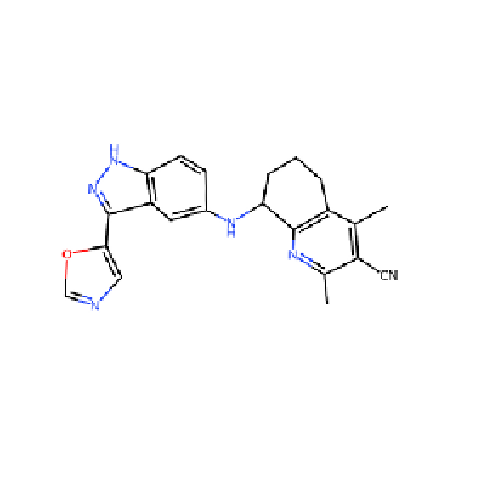 Cc1nc2c(c(C)c1C#N)CCCC2Nc1ccc2[nH]nc(-c3cnco3)c2c1